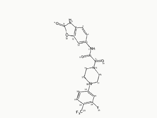 O=C(Nc1ccc2[nH]c(=O)oc2c1)C(=O)N1CCN(c2ccc(C(F)(F)F)c(F)c2)CC1